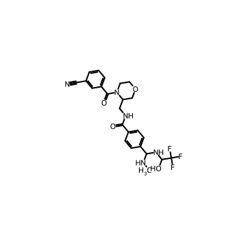 CNC(NC(O)C(F)(F)F)c1ccc(C(=O)NCC2COCCN2C(=O)c2cccc(C#N)c2)cc1